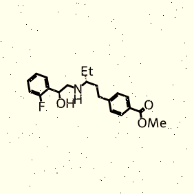 CC[C@H](CCc1ccc(C(=O)OC)cc1)NC[C@@H](O)c1ccccc1F